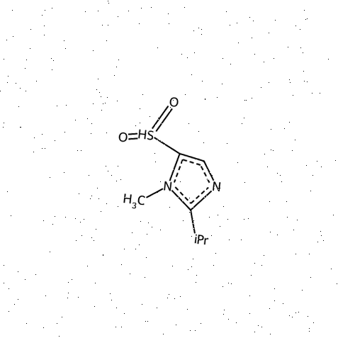 CC(C)c1ncc([SH](=O)=O)n1C